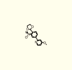 COc1ccnc(-c2ccc(C3OCCO3)c([N+](=O)[O-])c2)c1